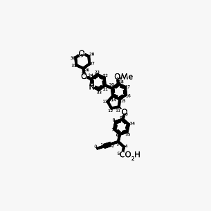 CC#CC(CC(=O)O)c1ccc(O[C@@H]2CCc3c2ccc(OC)c3-c2ccc(OC3CCOCC3)nc2)cc1